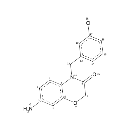 Nc1ccc2c(c1)OCC(=O)N2Cc1cccc(Cl)c1